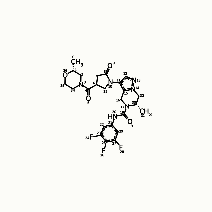 C[C@@H]1CN(C(=O)C2CC(=O)N(c3cnn4c3CN(C(=O)Nc3cc(F)c(F)c(F)c3)[C@@H](C)C4)C2)CCO1